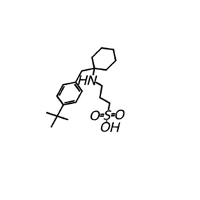 CC(C)(C)c1ccc(CC2(NCCCS(=O)(=O)O)CCCCC2)cc1